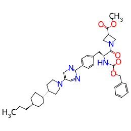 CCC[C@H]1CC[C@H](C2CCN(c3cnc(-c4ccc(C[C@H](NC(=O)OCc5ccccc5)C(=O)N5CC(C(=O)OC)C5)cc4)nc3)CC2)CC1